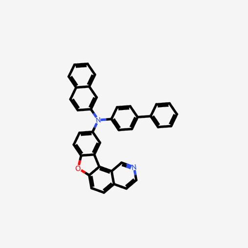 c1ccc(-c2ccc(N(c3ccc4ccccc4c3)c3ccc4oc5ccc6ccncc6c5c4c3)cc2)cc1